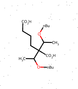 CCCCOC(C)C(CCCC(=O)O)(C(=O)O)C(C)OCCCC